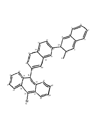 CC1C=c2ccccc2=CC1c1ccc2ccc(-c3c4ccccc4c(Br)c4ccccc34)cc2c1